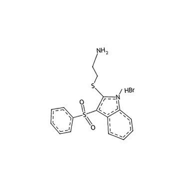 Br.Cn1c(SCCN)c(S(=O)(=O)c2ccccc2)c2ccccc21